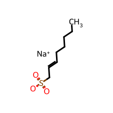 CCCCCC=CCS(=O)(=O)[O-].[Na+]